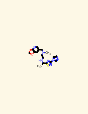 CC(NCCN(C)Cc1cnc2c(c1)OCO2)c1nc(-n2ccnc2)ns1